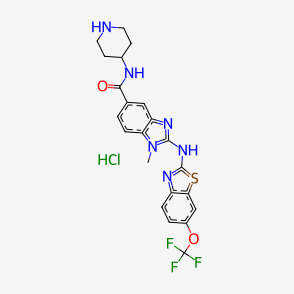 Cl.Cn1c(Nc2nc3ccc(OC(F)(F)F)cc3s2)nc2cc(C(=O)NC3CCNCC3)ccc21